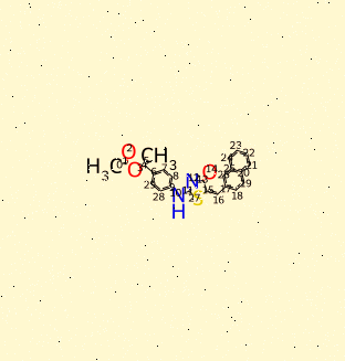 CC(=O)OC(C)c1ccc(NC2=NC(=O)C(=Cc3ccc4ccccc4c3)S2)cc1